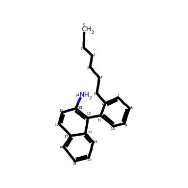 CCCCCCc1ccccc1-c1c(N)ccc2ccccc12